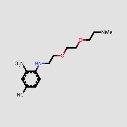 CNCCOCCOCCNc1ccc(C#N)cc1[N+](=O)[O-]